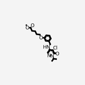 COC(=O)CCCCOc1cccc(CNc2cnn(C(C)C)c(=O)c2Cl)c1